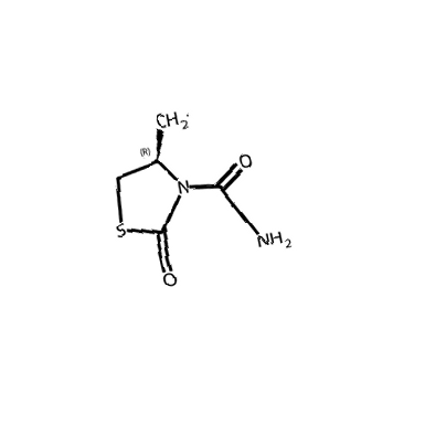 [CH2][C@@H]1CSC(=O)N1C(N)=O